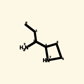 CCC(N)C1CCN1